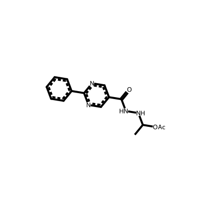 CC(=O)OC(C)NNC(=O)c1cnc(-c2ccccc2)nc1